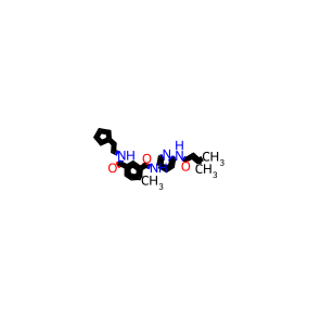 CC(C)=CC(=O)Nc1ccc(NC(=O)c2cc(C(=O)NCCC3CCCC3)ccc2C)cn1